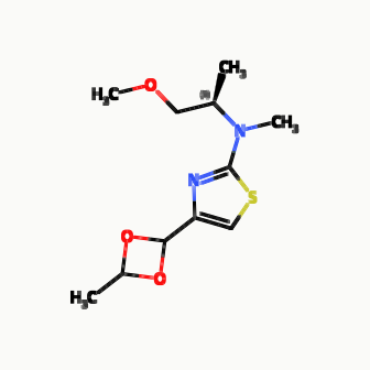 COC[C@@H](C)N(C)c1nc(C2OC(C)O2)cs1